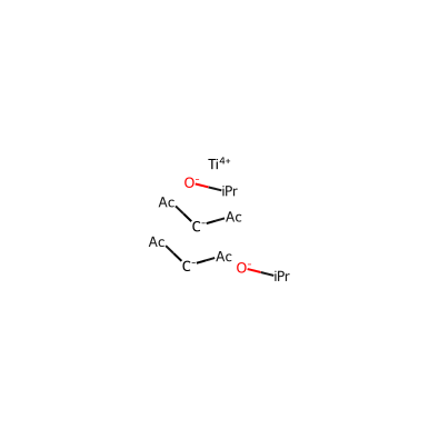 CC(=O)[CH-]C(C)=O.CC(=O)[CH-]C(C)=O.CC(C)[O-].CC(C)[O-].[Ti+4]